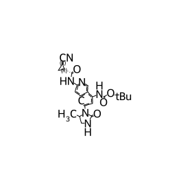 CC1CNC(=O)N1c1cc(NC(=O)OC(C)(C)C)c2cnc(NC(=O)[C@@H]3C[C@H]3C#N)cc2c1